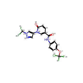 O=C(Nc1ccc(OC(F)(F)Cl)cc1)c1ccc(=O)n(-c2cnn(C(F)F)c2)c1